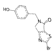 O=C1c2sc(Br)nc2CN1Cc1ccc(O)cc1